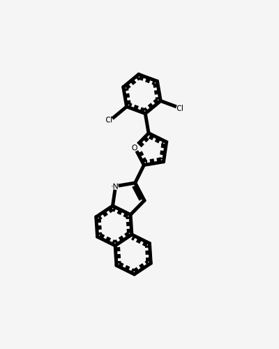 Clc1cccc(Cl)c1-c1ccc(C2=Cc3c(ccc4ccccc34)[N]2)o1